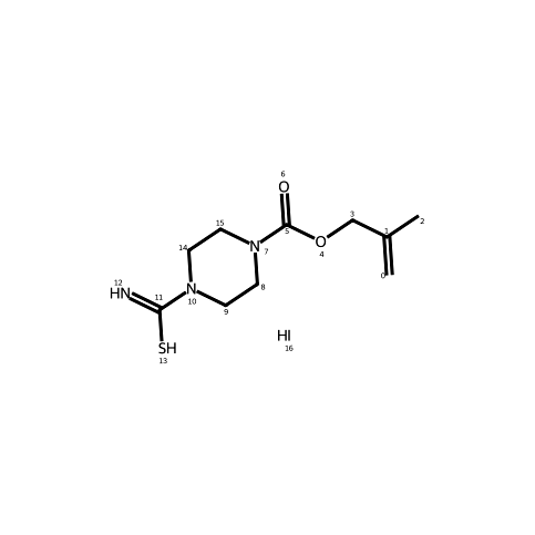 C=C(C)COC(=O)N1CCN(C(=N)S)CC1.I